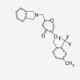 Cc1ccc(COc2coc(CN3Cc4ccccc4C3)cc2=O)c(C(F)(F)F)c1